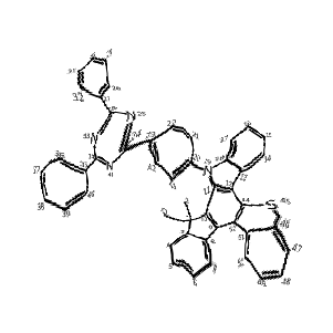 CC1(C)c2ccccc2-c2c1c1c(c3ccccc3n1-c1ccc(-c3nc(-c4ccccc4)nc(-c4ccccc4)n3)cc1)c1sc3ccccc3c21